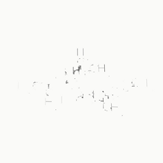 C=CC(=C)CCC(CC)(CCC(=C)C=C)CCC(=C)CCC(=C)NCCCCC